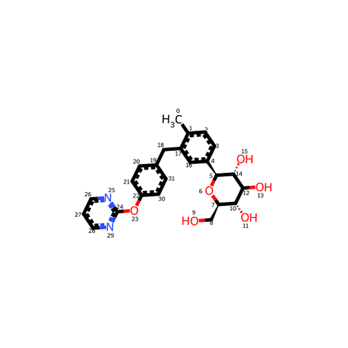 Cc1ccc([C@@H]2O[C@H](CO)[C@@H](O)C(O)[C@H]2O)cc1Cc1ccc(Oc2ncccn2)cc1